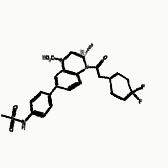 C[C@H]1CN(C(=O)O)c2cc(-c3ccc(NS(C)(=O)=O)cc3)ccc2N1C(=O)CC1CCC(F)(F)CC1